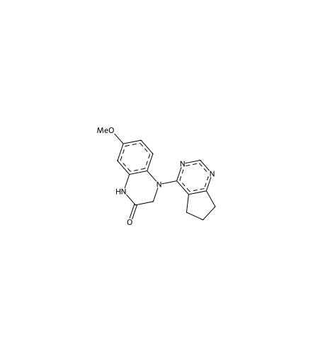 COc1ccc2c(c1)NC(=O)CN2c1ncnc2c1CCC2